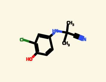 CC(C)(C#N)Nc1ccc(O)c(Cl)c1